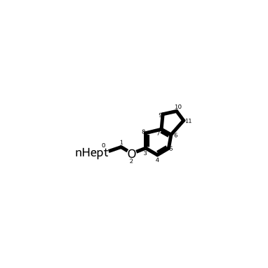 CCCCCCCCOc1ccc2c(c1)CCC2